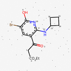 CCOC(=O)CC(=O)c1cc(Br)c(O)nc1NC1CCC1